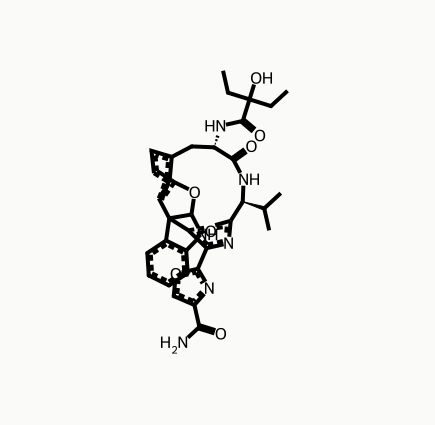 CCC(O)(CC)C(=O)N[C@H]1Cc2ccc3c(c2)C2(c4ccccc4NC2O3)c2oc(nc2-c2nc(C(N)=O)co2)[C@H](C(C)C)NC1=O